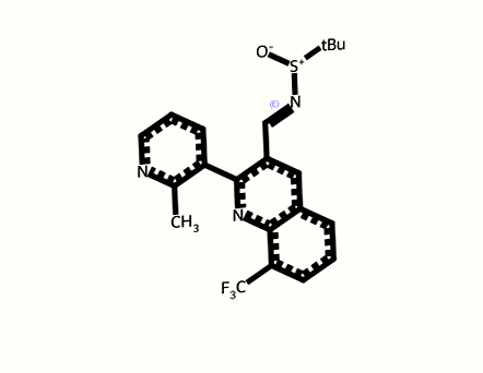 Cc1ncccc1-c1nc2c(C(F)(F)F)cccc2cc1/C=N/[S+]([O-])C(C)(C)C